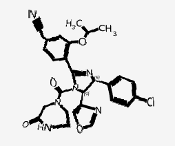 CC(C)Oc1cc(C#N)ccc1C1=N[C@@H](c2ccc(Cl)cc2)[C@@H](c2cocn2)N1C(=O)N1CCNC(=O)C1